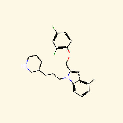 Cc1cccc2c1cc(COc1ccc(Cl)cc1Cl)n2CCCC1CCCNC1